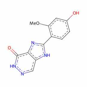 COc1cc(O)ccc1-c1nc2c(=O)[nH]ncc2[nH]1